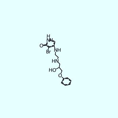 O=c1[nH]ncc(NCCNCC(O)COc2ccccc2)c1Br